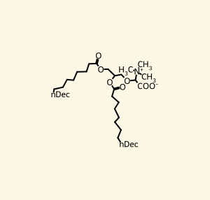 CCCCCCCCCCCCCCCCCC(=O)OCC(COC(C(=O)[O-])[N+](C)(C)C)OC(=O)CCCCCCCCCCCCCCCCC